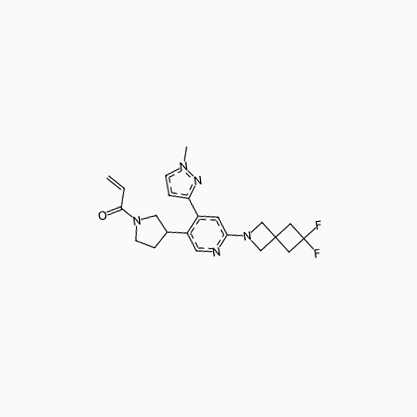 C=CC(=O)N1CCC(c2cnc(N3CC4(C3)CC(F)(F)C4)cc2-c2ccn(C)n2)C1